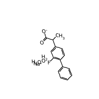 CC(C(=O)[O-])c1ccc(-c2ccccc2)c(F)c1.O.O.[Na+]